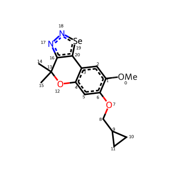 COc1cc2c(cc1OCC1CC1)OC(C)(C)c1nn[se]c1-2